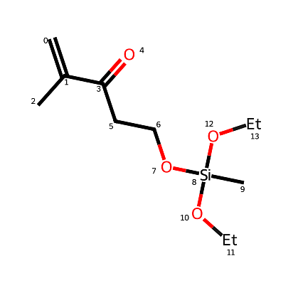 C=C(C)C(=O)CCO[Si](C)(OCC)OCC